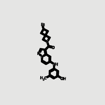 CCC1CC2(C1)CN(C(=O)c1cnn3ccc(Nc4cc(C)cc(O)c4)cc13)C2